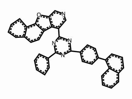 c1ccc(-c2nc(-c3ccc(-c4cccc5ccccc45)cc3)nc(-c3cncc4oc5c6ccccc6ccc5c34)n2)cc1